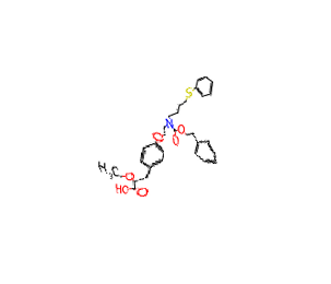 CCOC(Cc1ccc(OCCN(CCCCSc2ccccc2)C(=O)OCCc2ccccc2)cc1)C(=O)O